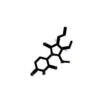 C=C/C=C1/C(=O)N(C2CCC(=O)NC2=O)C(OC)/C1=C/C